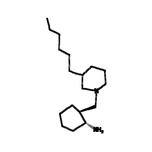 CCCCCCC1CCCN(C[C@@H]2CCCC[C@H]2N)C1